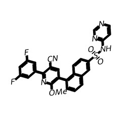 COc1nc(-c2cc(F)cc(F)c2)c(C#N)cc1-c1cccc2cc(S(=O)(=O)Nc3ccncn3)ccc12